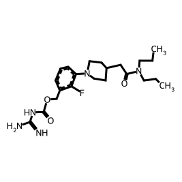 CCCN(CCC)C(=O)CC1CCN(c2cccc(COC(=O)NC(=N)N)c2F)CC1